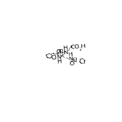 O=C(O)CCCNC(=O)[C@H](CCCNC(=O)OCc1ccccc1)NC(=O)c1cc2ccccc2o1